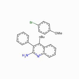 CCCCc1c(-c2ccccc2)c(N)nc2ccccc12.COc1ccc(Br)cc1